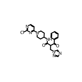 O=C(NC1CCN(c2ccnc(Cl)n2)CC1)C(Cn1cncn1)C(=O)c1ccccc1